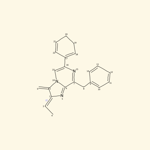 C=c1/c(=C/C)nc2c(Cc3ccccc3)nc(C3=CCCC=C3)cn12